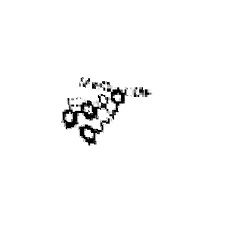 COc1cc(CN(CCCc2ccccc2)C(=O)c2ccc(-c3ccccc3C(=O)O)cc2)cc(OC)c1